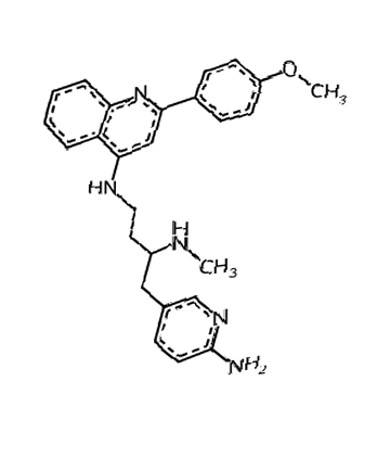 CNC(CCNc1cc(-c2ccc(OC)cc2)nc2ccccc12)Cc1ccc(N)nc1